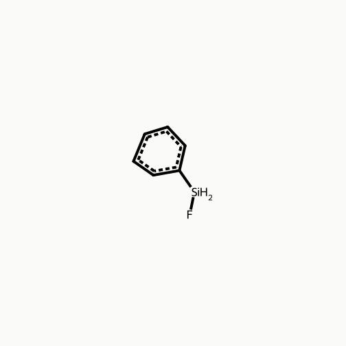 F[SiH2]c1ccccc1